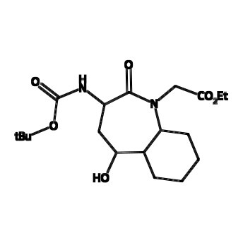 CCOC(=O)CN1C(=O)C(NC(=O)OC(C)(C)C)CC(O)C2CCCCC21